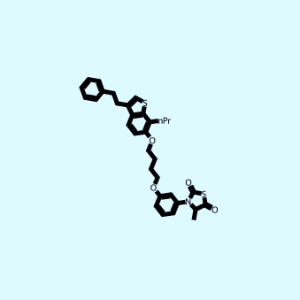 CCCc1c(OCCCCOc2cccc(N3C(=O)SC(=O)C3C)c2)ccc2c(CCc3ccccc3)csc12